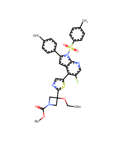 COCOC1(c2ncc(-c3c(F)cnc4c3cc(-c3ccc(C=O)cc3)n4S(=O)(=O)c3ccc(C)cc3)s2)CN(C(=O)OC(C)(C)C)C1